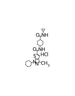 Cc1nn(C2CCCCC2)c2sc(C(=O)NC3CCC(C(=O)NC4CC4)CC3)cc12.Cl